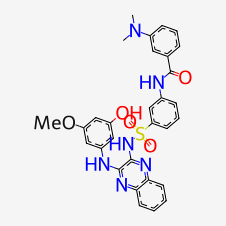 COc1cc(O)cc(Nc2nc3ccccc3nc2NS(=O)(=O)c2cccc(NC(=O)c3cccc(N(C)C)c3)c2)c1